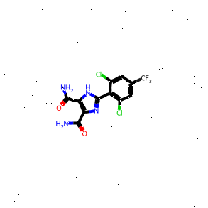 NC(=O)c1nc(-c2c(Cl)cc(C(F)(F)F)cc2Cl)[nH]c1C(N)=O